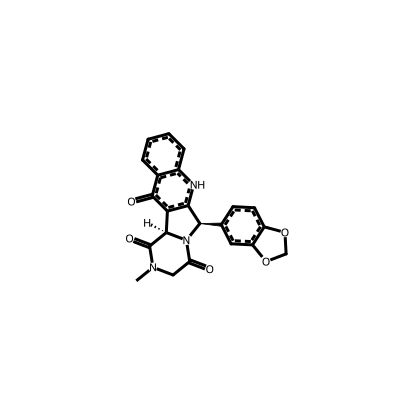 CN1CC(=O)N2[C@H](c3ccc4c(c3)OCO4)c3[nH]c4ccccc4c(=O)c3[C@@H]2C1=O